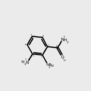 CCCCc1c(N)cccc1C(N)=O